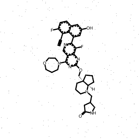 C#Cc1c(F)ccc2cc(O)cc(-c3ncc4c(N5CCCOCC5)nc(OC[C@]56CCC[C@H]5N(CC5CNC(=O)C5)CCC6)nc4c3F)c12